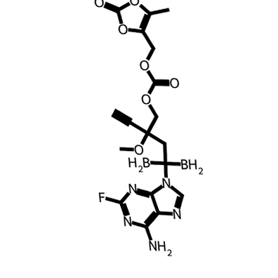 BC(B)(CC(C#C)(COC(=O)OCc1oc(=O)oc1C)OC)n1cnc2c(N)nc(F)nc21